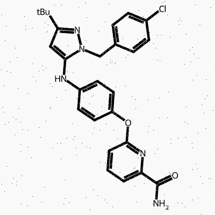 CC(C)(C)c1cc(Nc2ccc(Oc3cccc(C(N)=O)n3)cc2)n(Cc2ccc(Cl)cc2)n1